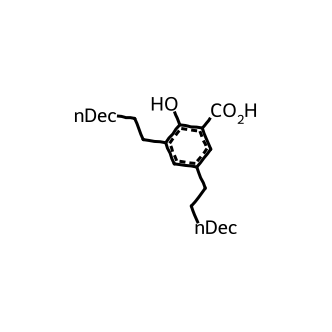 CCCCCCCCCCCCc1cc(CCCCCCCCCCCC)c(O)c(C(=O)O)c1